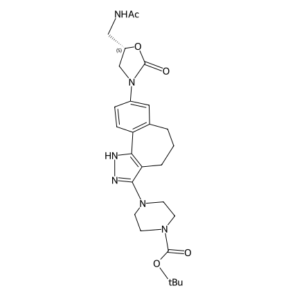 CC(=O)NC[C@H]1CN(c2ccc3c(c2)CCCc2c(N4CCN(C(=O)OC(C)(C)C)CC4)n[nH]c2-3)C(=O)O1